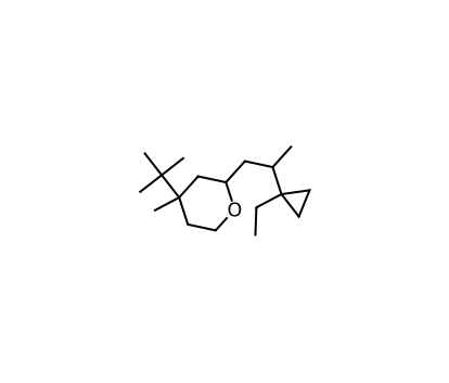 CCC1(C(C)CC2CC(C)(C(C)(C)C)CCO2)CC1